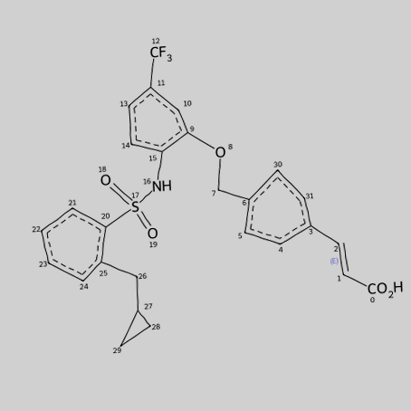 O=C(O)/C=C/c1ccc(COc2cc(C(F)(F)F)ccc2NS(=O)(=O)c2ccccc2CC2CC2)cc1